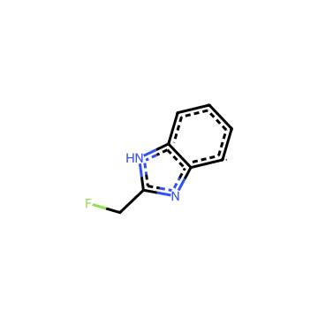 FCc1nc2[c]cccc2[nH]1